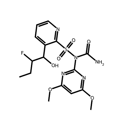 CCC(F)C(O)c1cccnc1S(=O)(=O)N(C(N)=O)c1nc(OC)cc(OC)n1